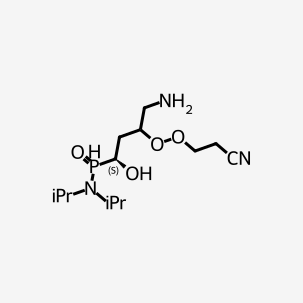 CC(C)N(C(C)C)[PH](=O)[C@H](O)CC(CN)OOCCC#N